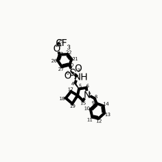 O=S(=O)(NC[C@H]1CN(Cc2ccccc2)CC12CCC2)c1ccc(OC(F)(F)F)cc1